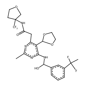 Cc1nc(CC(=O)NC2(C(F)(F)F)CCOC2)c(C2OCCO2)c(NC(O)c2cccc(C(C)(F)F)c2)n1